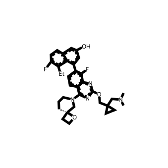 CCc1c(F)ccc2cc(O)cc(-c3ccc4c(N5CCC[C@]6(CCO6)C5)nc(OCC5(CN(C)C)CC5)nc4c3F)c12